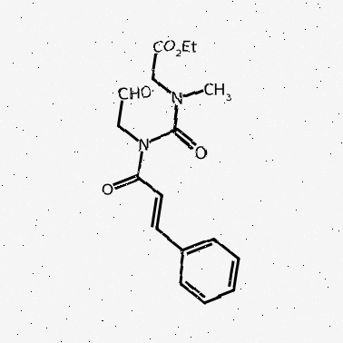 CCOC(=O)CN(C)C(=O)N(C[C]=O)C(=O)/C=C/c1ccccc1